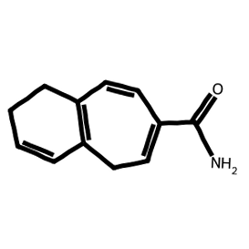 NC(=O)C1=CCC2=C(C=C1)CCC=C2